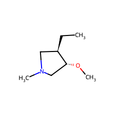 CC[C@@H]1CN(C)C[C@H]1OC